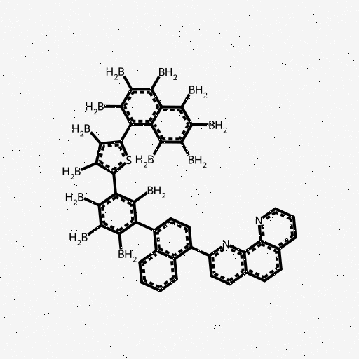 Bc1c(-c2c(B)c(B)c(B)c(-c3ccc(-c4ccc5ccc6cccnc6c5n4)c4ccccc34)c2B)sc(-c2c(B)c(B)c(B)c3c(B)c(B)c(B)c(B)c23)c1B